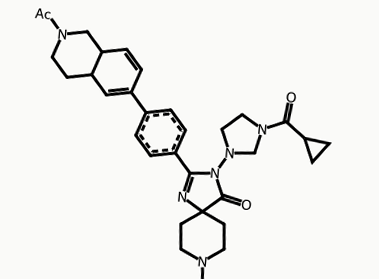 CC(=O)N1CCC2(CC1)N=C(c1ccc(C3=CC4CCN(C(C)=O)CC4C=C3)cc1)N(N1CCN(C(=O)C3CC3)C1)C2=O